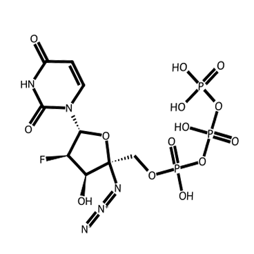 [N-]=[N+]=N[C@]1(COP(=O)(O)OP(=O)(O)OP(=O)(O)O)O[C@@H](n2ccc(=O)[nH]c2=O)[C@H](F)[C@@H]1O